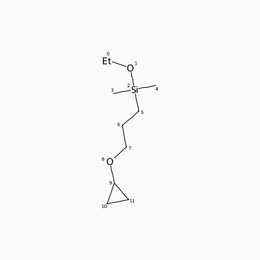 CCO[Si](C)(C)CCCOC1CC1